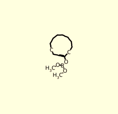 COB(OC)OC1=CCCCCCCCCCC1